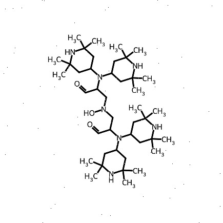 CC1(C)CC(N(C(C=O)CN(O)CC(C=O)N(C2CC(C)(C)NC(C)(C)C2)C2CC(C)(C)NC(C)(C)C2)C2CC(C)(C)NC(C)(C)C2)CC(C)(C)N1